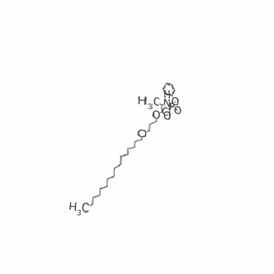 CCCCCCCCCCCCCCCCOCCCOC(=O)C(C)NP(=O)(Cl)Oc1ccccc1